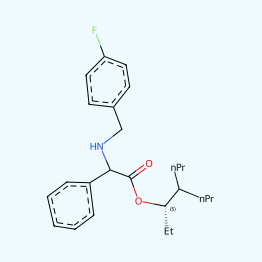 CCCC(CCC)[C@H](CC)OC(=O)C(NCc1ccc(F)cc1)c1ccccc1